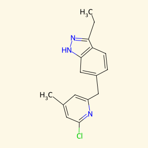 CCc1n[nH]c2cc(Cc3cc(C)cc(Cl)n3)ccc12